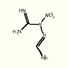 CCCCC=NN(C(=N)N)[N+](=O)[O-]